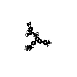 CCN(CC)c1ccc2c(COC(=O)c3cc(-c4ccc([C@H]5C[C@H]6C[C@@H]5CN6)cc4)c4ccc(-c5ccc(C(F)(F)F)cc5)cc4c3)cc(=O)oc2c1